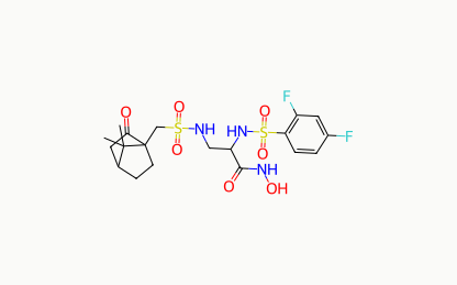 CC1(C)C2CCC1(CS(=O)(=O)NCC(NS(=O)(=O)c1ccc(F)cc1F)C(=O)NO)C(=O)C2